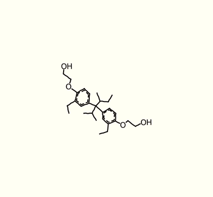 CCc1cc(C(c2ccc(OCCO)c(CC)c2)(C(C)C)C(C)CC)ccc1OCCO